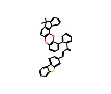 C=C(/C=C/c1ccc2c(c1)sc1ccccc12)c1ccccc1-c1cccc2c1Oc1c(ccc3c1-c1ccccc1C3(C)C)O2